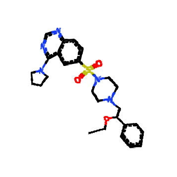 CCOC(CN1CCN(S(=O)(=O)c2ccc3ncnc(N4CCCC4)c3c2)CC1)c1ccccc1